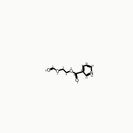 O=[C]OCCOC(=O)c1cccnc1